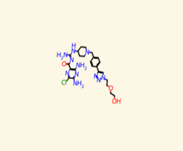 N/C(=N\C(=O)c1nc(Cl)c(N)nc1N)NC1CCN(Cc2ccc(-c3cn(CCOCCO)nn3)cc2)CC1